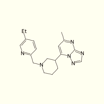 CCc1ccc(CN2CCCC(c3cc(C)nc4ncnn34)C2)nc1